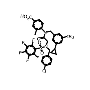 Cc1cc(C(=O)O)ccc1N(Cc1cc(C2CC2)cc(C(C)(C)C)c1)C(=O)CN(Cc1ccc(Cl)cc1)S(=O)(=O)c1c(F)c(F)c(F)c(F)c1F